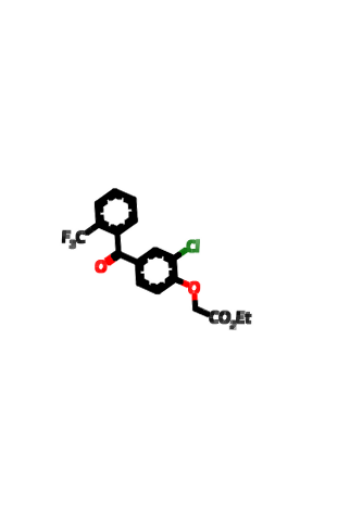 CCOC(=O)COc1ccc(C(=O)c2ccccc2C(F)(F)F)cc1Cl